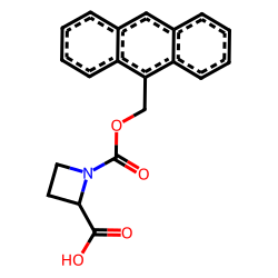 O=C(O)C1CCN1C(=O)OCc1c2ccccc2cc2ccccc12